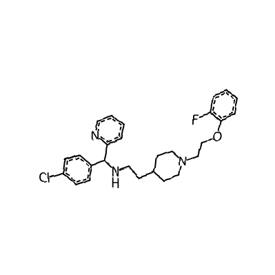 Fc1ccccc1OCCN1CCC(CCNC(c2ccc(Cl)cc2)c2ccccn2)CC1